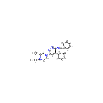 CC1CN(c2ccc(N=C(c3ccccc3)c3ccccc3)nn2)CCN1C(=O)O